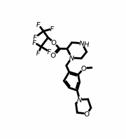 COc1cc(N2CCOCC2)ccc1CN1CCNCC1C(=O)OC(C(F)(F)F)C(F)(F)F